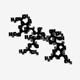 COC(=O)NC(CSP(=O)(N[C@H](C)C(=O)OC(C)C)OC[C@H]1O[C@@H](n2cnc3c(OC)nc(N)nc32)[C@](C)(O)[C@@H]1O)C(=O)OC(C)C